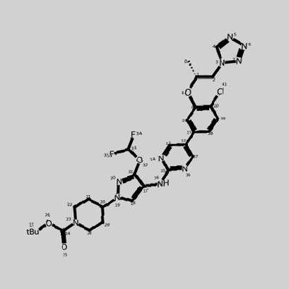 C[C@H](Cn1cnnn1)Oc1cc(-c2cnc(Nc3cn(C4CCN(C(=O)OC(C)(C)C)CC4)nc3OC(F)F)nc2)ccc1Cl